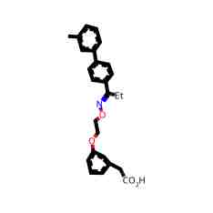 CC/C(=N\OCCOc1cccc(CC(=O)O)c1)c1ccc(-c2cccc(C)c2)cc1